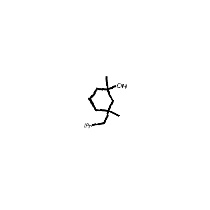 CC(C)CC1(C)CCCC(C)(O)C1